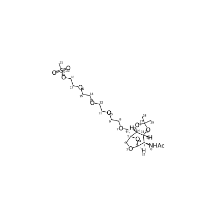 CC(=O)N[C@H]1[C@H]2OC[C@](COCCOCCOCCOCCOS(C)(=O)=O)(O2)[C@@H]2OC(C)(C)O[C@H]12